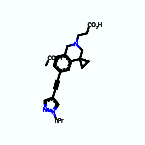 CC(=O)O.CCCn1cc(C#Cc2ccc3c(c2)C2(CC2)CN(CCC(=O)O)C3)cn1